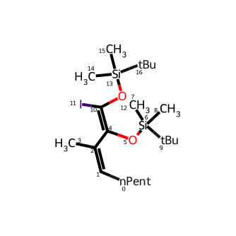 CCCCCC=C(C)C(O[Si](C)(C)C(C)(C)C)=C(I)O[Si](C)(C)C(C)(C)C